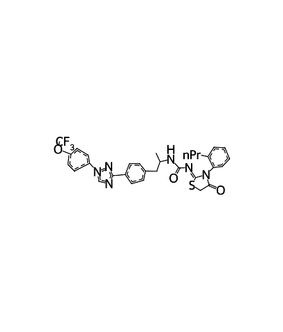 CCCc1ccccc1N1C(=O)CS/C1=N\C(=O)NC(C)Cc1ccc(-c2ncn(-c3ccc(OC(F)(F)F)cc3)n2)cc1